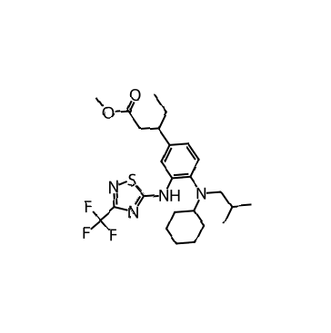 CCC(CC(=O)OC)c1ccc(N(CC(C)C)C2CCCCC2)c(Nc2nc(C(F)(F)F)ns2)c1